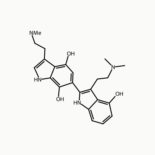 CNCCc1c[nH]c2c(O)c(-c3[nH]c4cccc(O)c4c3CCN(C)C)cc(O)c12